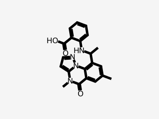 Cc1cc(C(C)Nc2ccccc2C(=O)O)c2c(c1)c(=O)n(C)c1ccnn21